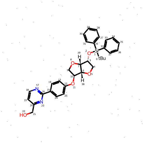 CC(C)(C)[Si](O[C@@H]1CO[C@H]2[C@@H]1OC[C@@H]2Oc1ccc(-c2nccc(CO)n2)cc1)(c1ccccc1)c1ccccc1